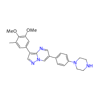 COc1cc(-c2cnn3cc(-c4ccc(N5CCNCC5)cc4)cnc23)cc(C)c1OC